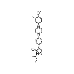 CCC(C)n1ncn(-c2ccc(N3CCN(c4ccc(OC)c(C)c4)CC3)cc2)c1=O